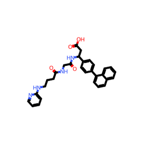 O=C(O)CC(NC(=O)CNC(=O)CCCNc1ccccn1)c1ccc(-c2cccc3ccccc23)cc1